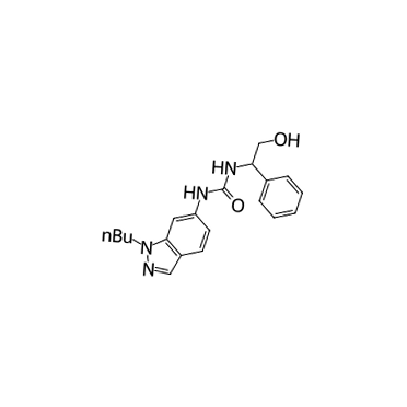 CCCCn1ncc2ccc(NC(=O)NC(CO)c3ccccc3)cc21